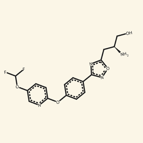 N[C@H](CO)Cc1nc(-c2ccc(Oc3ccc(OC(F)F)cn3)cc2)no1